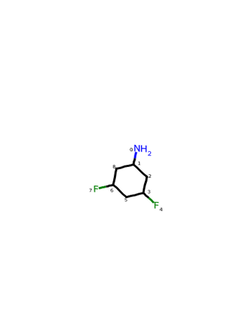 NC1CC(F)CC(F)C1